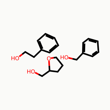 OCC1CCCO1.OCCc1ccccc1.OCc1ccccc1